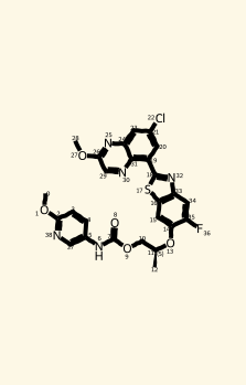 COc1ccc(NC(=O)OC[C@H](C)Oc2cc3sc(-c4cc(Cl)cc5nc(OC)cnc45)nc3cc2F)cn1